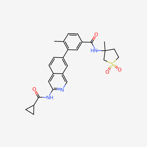 Cc1ccc(C(=O)NC2(C)CCS(=O)(=O)C2)cc1-c1ccc2cc(NC(=O)C3CC3)ncc2c1